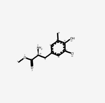 COC(=O)[C@@H](N)Cc1cc(C)c(O)c(Cl)c1